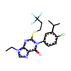 CCn1cnc2c(=O)n(-c3ccc(Cl)c(C(C)C)c3)c(SCCC(F)(F)F)nc21